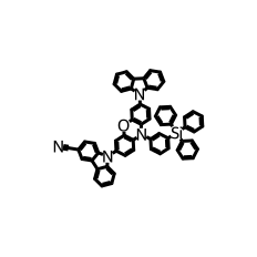 N#Cc1ccc2c(c1)c1ccccc1n2-c1ccc2c(c1)Oc1cc(-n3c4ccccc4c4ccccc43)ccc1N2c1cccc([Si](c2ccccc2)(c2ccccc2)c2ccccc2)c1